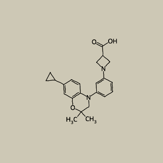 CC1(C)CN(c2cccc(N3CC(C(=O)O)C3)c2)c2ccc(C3CC3)cc2O1